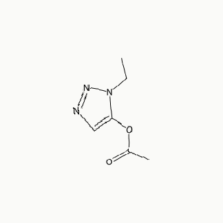 CCn1nncc1OC(C)=O